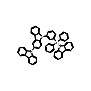 c1ccc([Si](c2ccccc2)(c2cccc(-n3c4ccccc4c4cc(-n5c6ccccc6c6ccccc65)ccc43)c2)n2c3ccccc3c3ccccc32)cc1